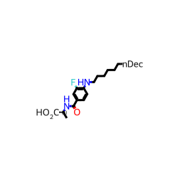 CCCCCCCCCCCCCCCCNc1ccc(C(=O)N[C@@H](C)C(=O)O)cc1F